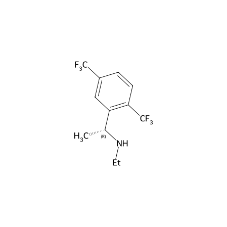 CCN[C@H](C)c1cc(C(F)(F)F)ccc1C(F)(F)F